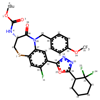 CC(C)(C)OC(=O)N[C@H]1CSc2cc(F)c(-c3nnc(C4CCCCC4(F)F)o3)cc2N(Cc2ccc(OC(F)(F)F)cc2)C1=O